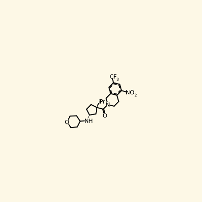 CC(C)[C@]1(C(=O)N2CCc3c(cc(C(F)(F)F)cc3[N+](=O)[O-])C2)CC[C@@H](NC2CCOCC2)C1